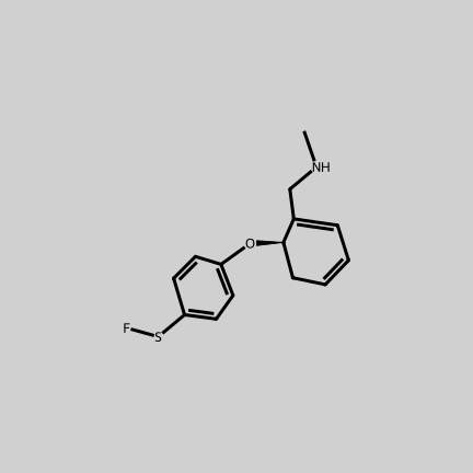 CNCC1=CC=CC[C@H]1Oc1ccc(SF)cc1